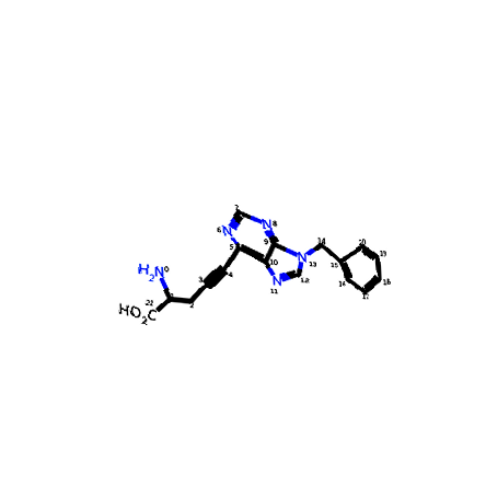 NC(CC#Cc1ncnc2c1ncn2Cc1ccccc1)C(=O)O